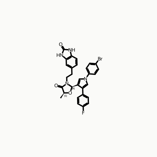 C[C@@H]1O[C@H](c2cn(-c3ccc(Br)cc3)cc2-c2ccc(F)cc2)N(CCc2ccc3[nH]c(=O)[nH]c3c2)C1=O